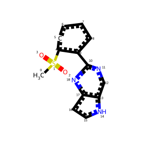 CS(=O)(=O)c1ccccc1-c1ncc2[nH]ccc2n1